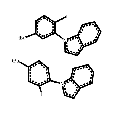 CC(C)(C)c1ccc(-n2ccc3ccccc32)c(I)c1.CC(C)(C)c1ccc(I)c(-n2ccc3ccccc32)c1